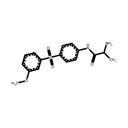 COc1cccc(S(=O)(=O)c2ccc(NC(=O)C(C)N)cc2)c1